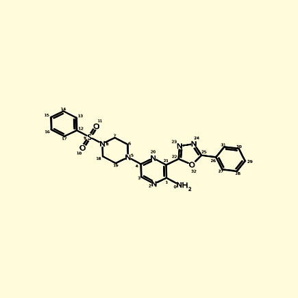 Nc1ncc(N2CCN(S(=O)(=O)c3ccccc3)CC2)nc1-c1nnc(-c2ccccc2)o1